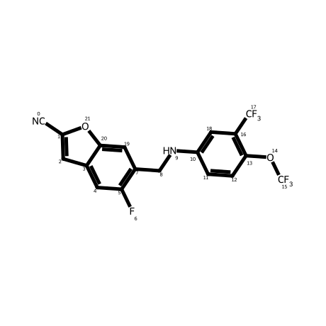 N#Cc1cc2cc(F)c(CNc3ccc(OC(F)(F)F)c(C(F)(F)F)c3)cc2o1